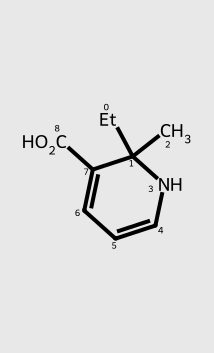 CCC1(C)NC=CC=C1C(=O)O